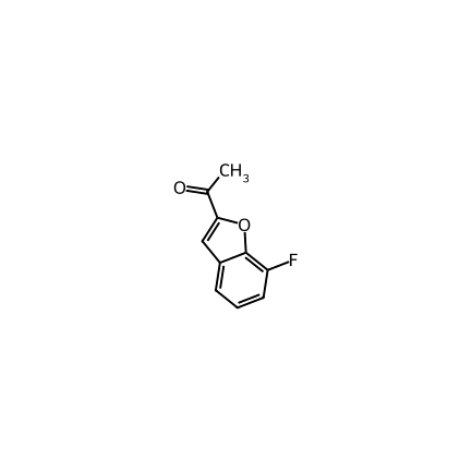 CC(=O)c1cc2cccc(F)c2o1